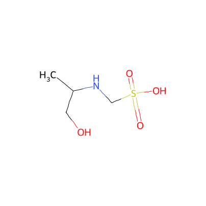 CC(CO)NCS(=O)(=O)O